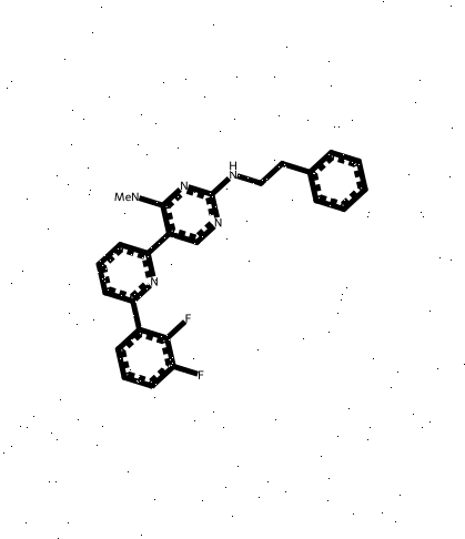 CNc1nc(NCCc2ccccc2)ncc1-c1cccc(-c2cccc(F)c2F)n1